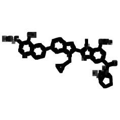 CCOC(=O)c1cnc2ccc(-c3ccc4cc(-c5nc6cc(C(=O)N7CC8CCC7[C@@H]8N)cc(OC)c6n5C)n(CC5CC5)c4c3)cc2c1O